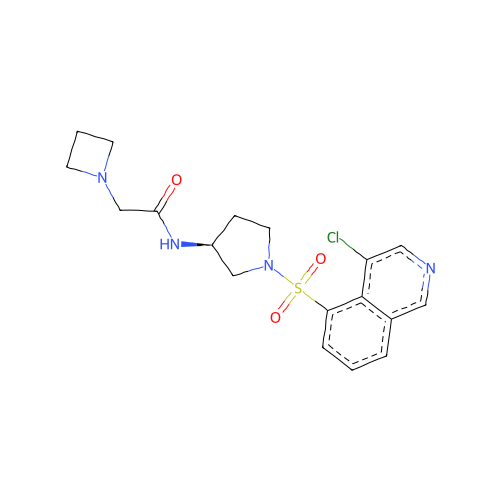 O=C(CN1CCC1)N[C@H]1CCN(S(=O)(=O)c2cccc3cncc(Cl)c23)C1